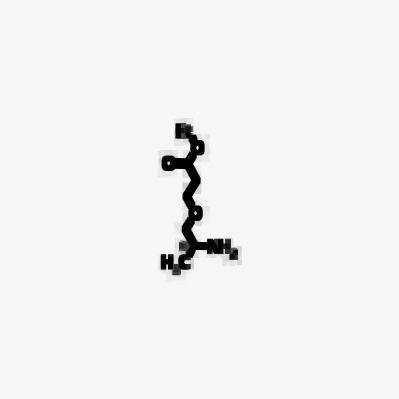 CCOC(=O)CCOC[C@H](C)N